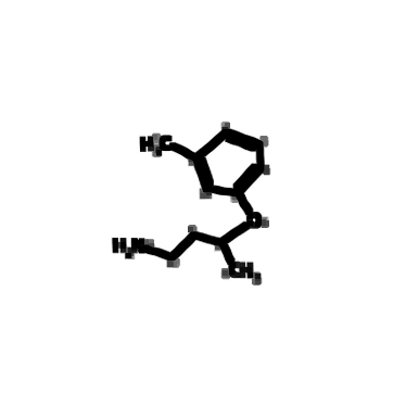 Cc1cccc(OC(C)CCN)c1